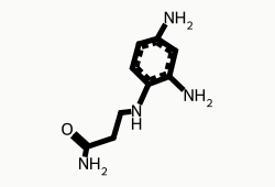 NC(=O)CCNc1ccc(N)cc1N